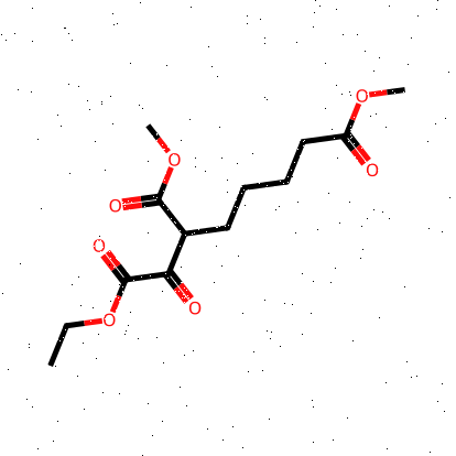 CCOC(=O)C(=O)C(CCCCC(=O)OC)C(=O)OC